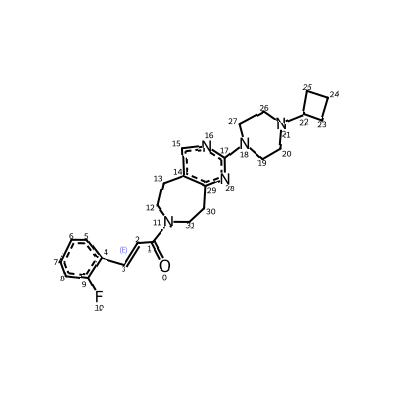 O=C(/C=C/c1ccccc1F)N1CCc2cnc(N3CCN(C4CCC4)CC3)nc2CC1